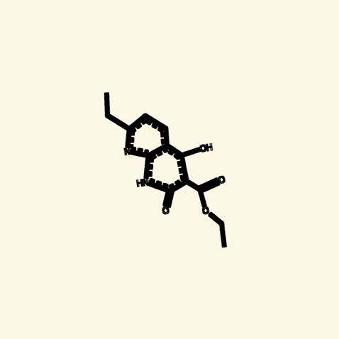 CCOC(=O)c1c(O)c2ccc(CC)nc2[nH]c1=O